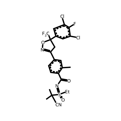 CCS(=O)(=NC(=O)c1ccc(C2=NOC(c3cc(Cl)c(F)c(Cl)c3)(C(F)(F)F)C2)cc1C)C(C)(C)C#N